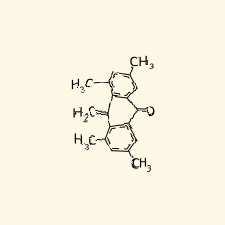 C=C1c2c(C)cc(C)cc2C(=O)c2cc(C)cc(C)c21